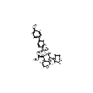 COc1ccc(-c2ccc(S(=O)(=O)N(CCN3CCOCC3)C(C(=O)O)C3CCOCC3)cc2)cc1